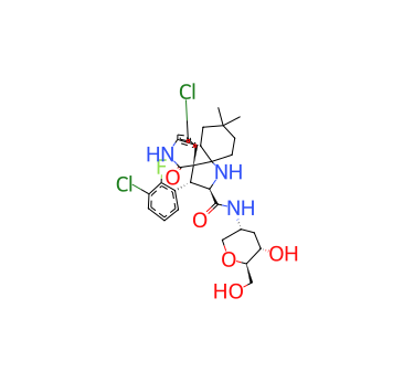 CC1(C)CCC2(CC1)N[C@@H](C(=O)N[C@H]1CO[C@H](CO)[C@@H](O)C1)[C@H](c1cccc(Cl)c1F)[C@]21C(=O)Nc2cc(Cl)ccc21